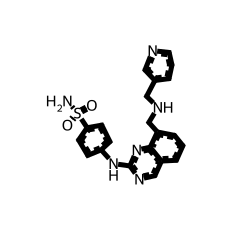 NS(=O)(=O)c1ccc(Nc2ncc3cccc(CNCc4cccnc4)c3n2)cc1